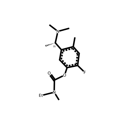 CCN(C)C(=O)Oc1cc([C@H](C)N(C)C)c(C)cc1F